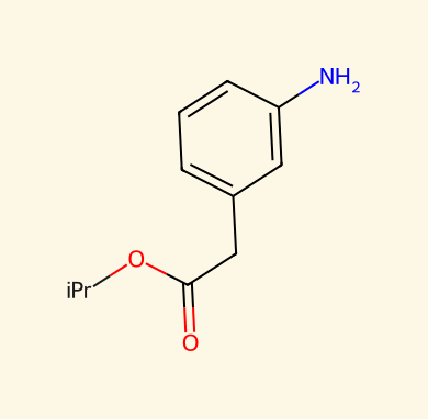 CC(C)OC(=O)Cc1cccc(N)c1